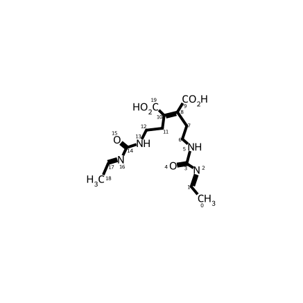 CC=NC(=O)NCC/C(C(=O)O)=C(\CCNC(=O)N=CC)C(=O)O